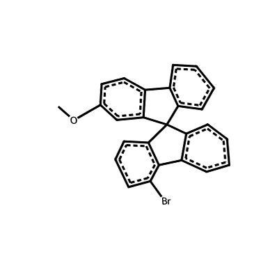 COc1ccc2c(c1)C1(c3ccccc3-2)c2ccccc2-c2c(Br)cccc21